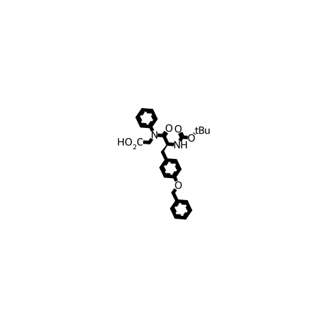 CC(C)(C)OC(=O)N[C@@H](Cc1ccc(OCc2ccccc2)cc1)C(=O)N(CC(=O)O)c1ccccc1